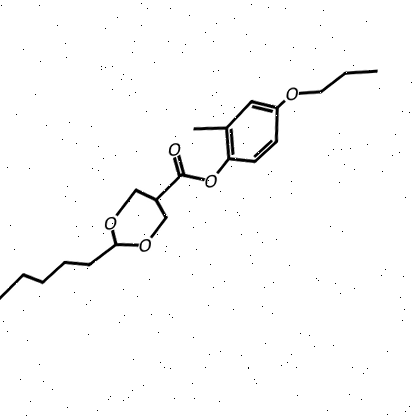 CCCCCC1OCC(C(=O)Oc2ccc(OCCC)cc2C)CO1